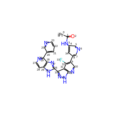 CC(C)C(=O)Nc1cncc(-c2cnc3[nH]nc(-c4nc5c(-c6cccnc6)nccc5[nH]4)c3c2F)c1